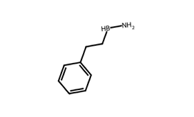 NBCCc1ccccc1